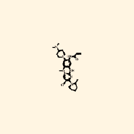 C=CC(=O)Nc1cc(Nc2ncc(Cl)c(N3CCCCC3C)n2)c(OC)cc1N1CCC(N(C)C)CC1